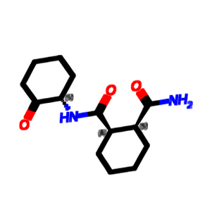 NC(=O)[C@H]1CCCC[C@H]1C(=O)N[C@H]1CCCCC1=O